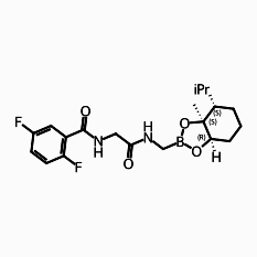 CC(C)[C@@H]1CCC[C@H]2OB(CNC(=O)CNC(=O)c3cc(F)ccc3F)O[C@]21C